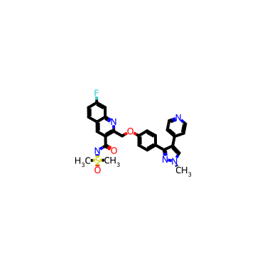 Cn1cc(-c2ccncc2)c(-c2ccc(OCc3nc4cc(F)ccc4cc3C(=O)N=S(C)(C)=O)cc2)n1